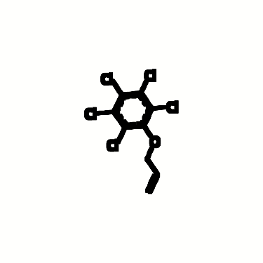 C=CCOc1c(Cl)c(Cl)c(Cl)c(Cl)c1Cl